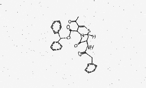 CC(=O)C1=CS[C@@H]2C(NC(=O)Cc3ccccc3)C(=O)N2C1C(=O)OC(c1ccccc1)c1ccccc1